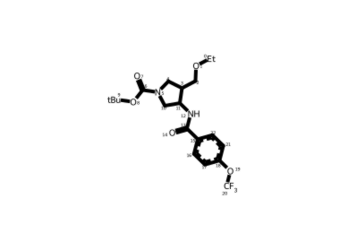 CCOCC1CN(C(=O)OC(C)(C)C)CC1NC(=O)c1ccc(OC(F)(F)F)cc1